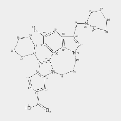 O=C(O)c1ccc2c(C3CCCCC3)c3n(c2c1)CCCn1cc(CN2CCCCC2)c2cc(F)cc-3c21